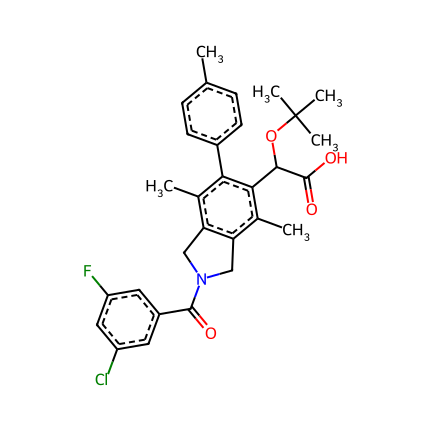 Cc1ccc(-c2c(C)c3c(c(C)c2C(OC(C)(C)C)C(=O)O)CN(C(=O)c2cc(F)cc(Cl)c2)C3)cc1